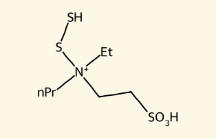 CCC[N+](CC)(CCS(=O)(=O)O)SS